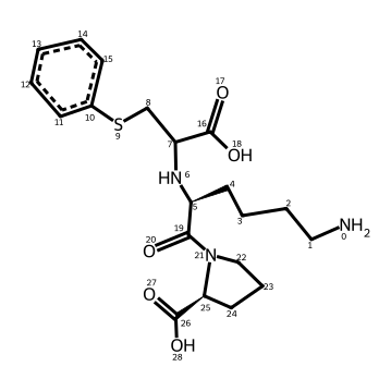 NCCCC[C@H](NC(CSc1ccccc1)C(=O)O)C(=O)N1CCC[C@H]1C(=O)O